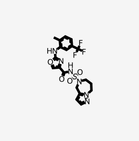 Cc1ccc(C(F)(F)F)cc1Nc1nc(C(=O)NS(=O)(=O)N2CCCn3nccc3C2)co1